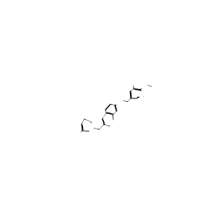 CC(C)Oc1ncc(COc2ccc3c(c2)OCC(CN2CCC=C(C(=O)O)C2)=C3)cc1Cl